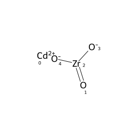 [Cd+2].[O]=[Zr]([O-])[O-]